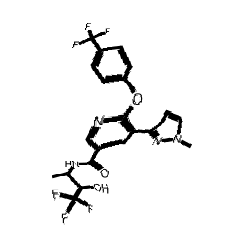 CC(NC(=O)c1cnc(Oc2ccc(C(F)(F)F)cc2)c(-c2ccn(C)n2)c1)C(O)C(F)(F)F